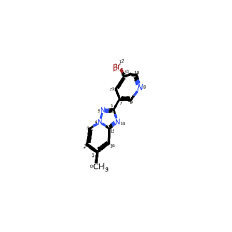 Cc1ccn2nc(-c3cncc(Br)c3)nc2c1